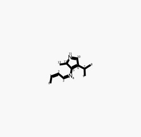 C/C=C\C=N/C1=C(C(C)C)C=NC1C